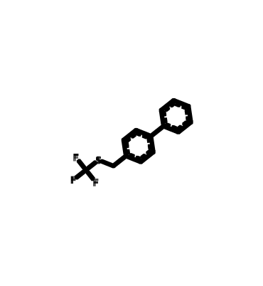 FC(F)(F)SCc1ccc(-c2ccccc2)cc1